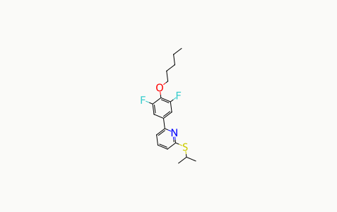 CCCCCOc1c(F)cc(-c2cccc(SC(C)C)n2)cc1F